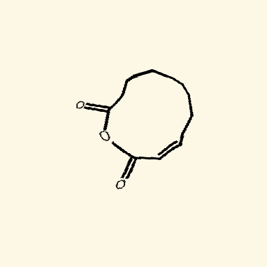 O=C1C=CCCCCC(=O)O1